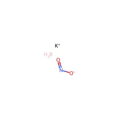 B.O=N[O-].[K+]